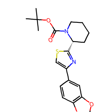 CC(C)(C)OC(=O)N1CCCC[C@@H]1c1nc(-c2ccc3c(c2)OCO3)cs1